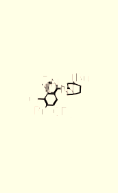 CC(C)(C)C12CCC(CN(c3nc(F)nc4c(Cl)c(Br)c(C(F)(F)F)cc34)C1)N2C(=O)O